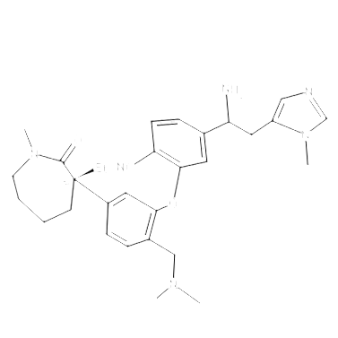 CC[C@@]1(c2ccc(CN(C)C)c(Oc3cc(C(N)Cc4cncn4C)ccc3C#N)c2)CCCCN(C)C1=O